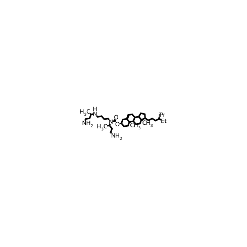 CCC(CCCC1CCC2C3CC=C4CC(OC(=O)N(CCCCNC(C)CCN)C(C)CCN)CCC4(C)C3CCC12C)C(C)C